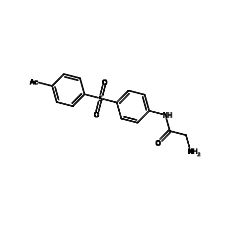 CC(=O)c1ccc(S(=O)(=O)c2ccc(NC(=O)CN)cc2)cc1